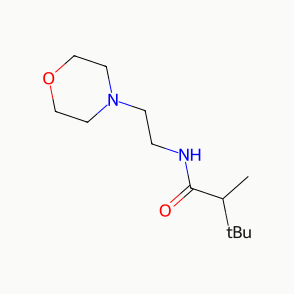 CC(C(=O)NCCN1CCOCC1)C(C)(C)C